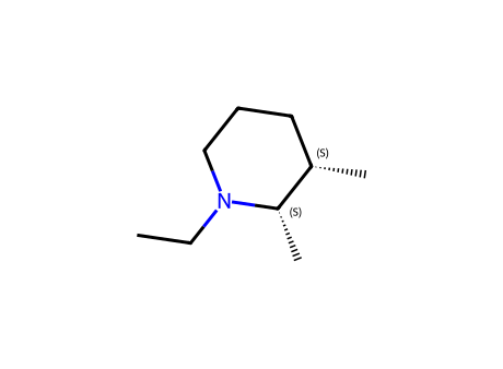 CCN1CCC[C@H](C)[C@@H]1C